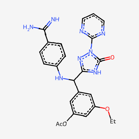 CCOc1cc(OC(C)=O)cc(C(Nc2ccc(C(=N)N)cc2)c2nn(-c3ncccn3)c(=O)[nH]2)c1